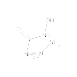 NC(=O)NO.NN